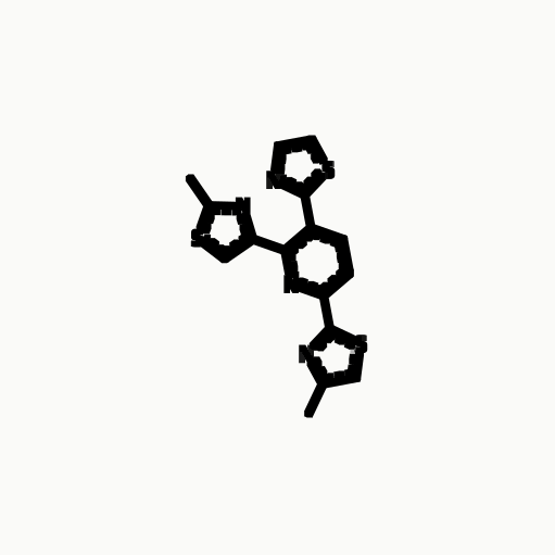 Cc1csc(-c2ccc(-c3nccs3)c(-c3csc(C)n3)n2)n1